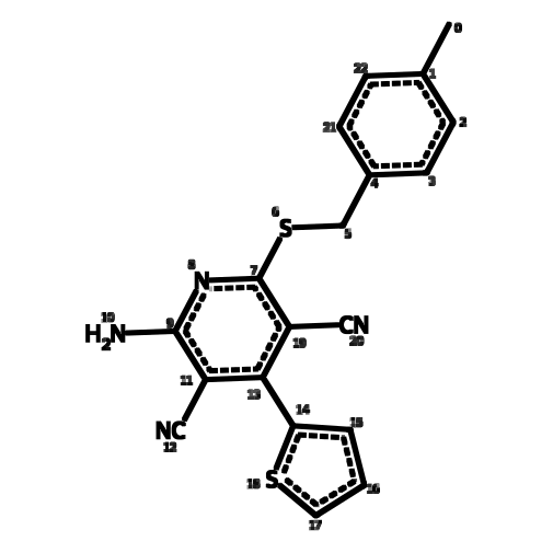 Cc1ccc(CSc2nc(N)c(C#N)c(-c3cccs3)c2C#N)cc1